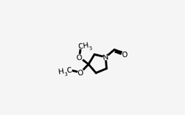 COC1(OC)CCN(C=O)C1